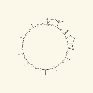 CC1CCC(C)CC[C@@H]2CC[C@@H](C)C(CC(=O)N3CCC[C@H]3C(=O)OC(C)CC[C@H](C)CC(C)CCC[C@H](C)C[C@H](C)CC1)O2